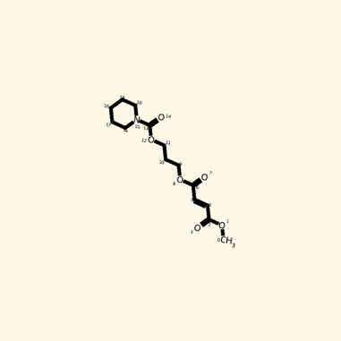 COC(=O)/C=C/C(=O)OCCCOC(=O)N1CCCCC1